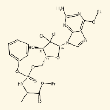 CCOc1nc(N)nc2c1ncn2[C@@H]1O[C@H](COP(=S)(NC(C)C(=O)OC(C)C)Oc2ccccc2)[C@@H](O)C1(Cl)Cl